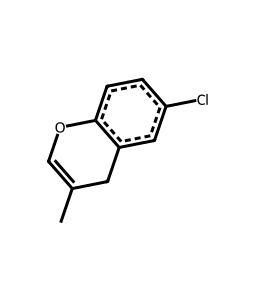 CC1=COc2ccc(Cl)cc2C1